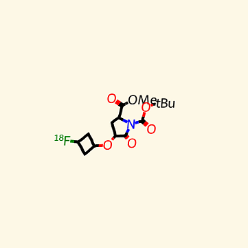 COC(=O)C1CC(OC2CC([18F])C2)C(=O)N1C(=O)OC(C)(C)C